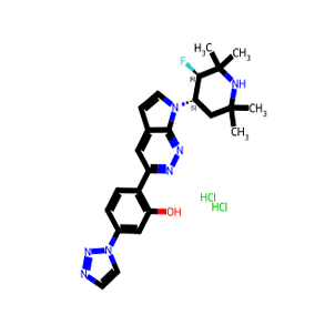 CC1(C)C[C@H](n2ccc3cc(-c4ccc(-n5ccnn5)cc4O)nnc32)[C@@H](F)C(C)(C)N1.Cl.Cl